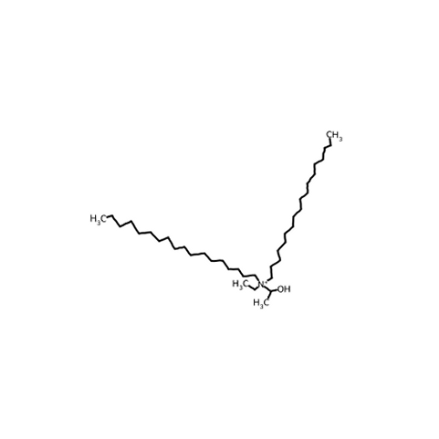 CCCCCCCCCCCCCCCCCC[N+](CC)(CCCCCCCCCCCCCCCCCC)C(C)O